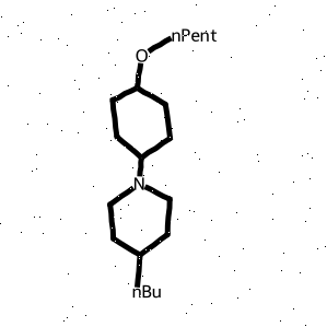 CCCCCOC1CCC(N2CCC(CCCC)CC2)CC1